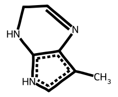 Cc1c[nH]c2c1N=CCN2